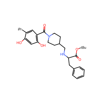 CC(C)c1cc(C(=O)N2CCC(CNC(Cc3ccccc3)C(=O)OC(C)(C)C)CC2)c(O)cc1O